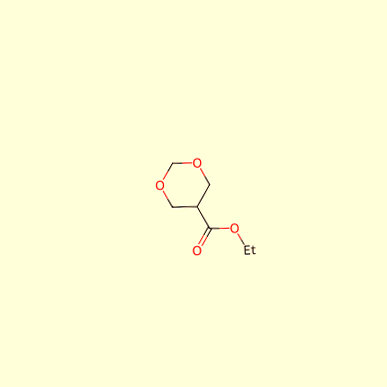 CCOC(=O)C1COCOC1